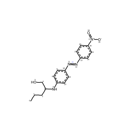 CCCC(CO)Nc1ccc(/N=N/c2ccc([N+](=O)[O-])cc2)cc1